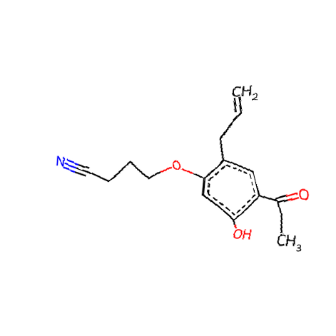 C=CCc1cc(C(C)=O)c(O)cc1OCCCC#N